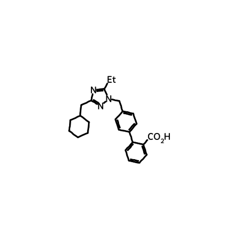 CCc1nc(CC2CCCCC2)nn1Cc1ccc(-c2ccccc2C(=O)O)cc1